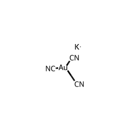 N#[C][Au]([C]#N)[C]#N.[K]